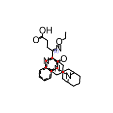 CCO/N=C(\CCC(=O)O)c1nc2ccccc2n(C2CC3CCCC(C2)N3C2CC3CCCC(C3)C2)c1=O